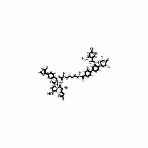 Cc1cc([C@H](C(=O)N2C[C@H](O)C[C@H]2C(=O)N[C@@H](CC(=O)NCCCCCNC(=O)c2ccc(-c3ccc(N4C[C@@H](C)N(C)[C@@H](C)C4)c(NC(=O)c4c[nH]c(=O)cc4C(F)(F)F)c3)c(F)c2)c2ccc(-c3scnc3C)cc2)C(C)C)on1